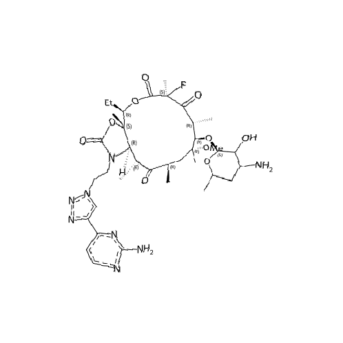 CC[C@H]1OC(=O)[C@@](C)(F)C(=O)[C@H](C)[C@@H](O[C@@H]2OC(C)CC(N)C2O)[C@](C)(OC)C[C@@H](C)C(=O)[C@H](C)[C@H]2N(CCn3cc(-c4ccnc(N)n4)nn3)C(=O)O[C@]12C